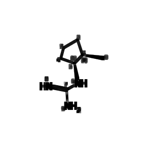 C[C@@H]1CCC[C@@H]1NC(=N)N